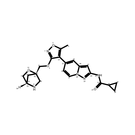 Cc1onc(OC[C@]23CN[C@H](CO2)C3)c1-c1ccn2nc(NC(=O)C3CC3)cc2c1